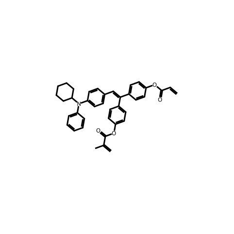 C=CC(=O)Oc1ccc(C(=Cc2ccc(N(c3ccccc3)C3CCCCC3)cc2)c2ccc(OC(=O)C(=C)C)cc2)cc1